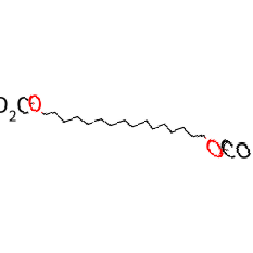 O=C(O)OCCCCCCCCCCCCCCCCOC(=O)O